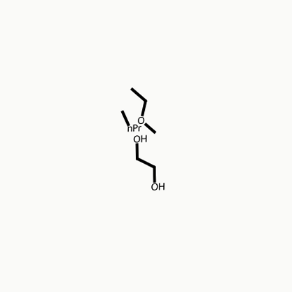 CCCC.CCOC.OCCO